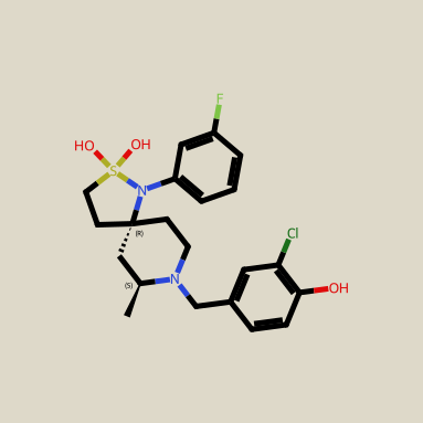 C[C@H]1C[C@]2(CCN1Cc1ccc(O)c(Cl)c1)CCS(O)(O)N2c1cccc(F)c1